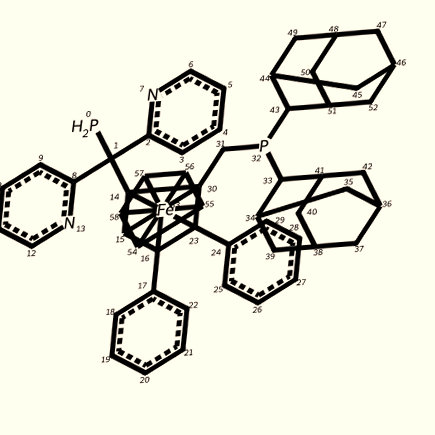 PC(c1ccccn1)(c1ccccn1)[C]12[CH]3[C]4(c5ccccc5)[C]5(c6ccccc6)[C]1(CP(C1C6CC7CC(C6)CC1C7)C1C6CC7CC(C6)CC1C7)[Fe]34521678[CH]2[CH]1[CH]6[CH]7[CH]28